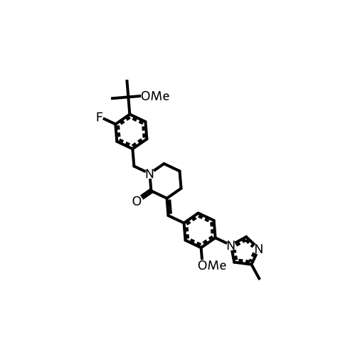 COc1cc(C=C2CCCN(Cc3ccc(C(C)(C)OC)c(F)c3)C2=O)ccc1-n1cnc(C)c1